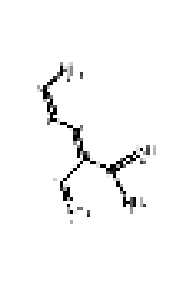 C=C/C(=C\C=C/N)C(=N)N